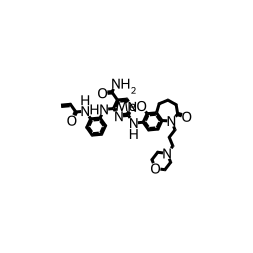 C=CC(=O)Nc1ccccc1Nc1nc(Nc2ccc3c(c2OC)CCCC(=O)N3CCCN2CCOCC2)ncc1C(N)=O